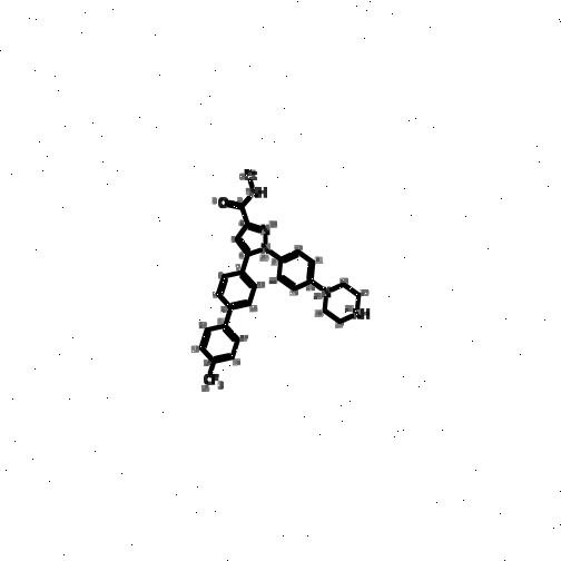 CCNC(=O)c1cc(-c2ccc(-c3ccc(C(F)(F)F)cc3)cc2)n(-c2ccc(N3CCNCC3)cc2)n1